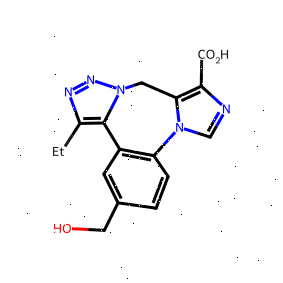 CCc1nnn2c1-c1cc(CO)ccc1-n1cnc(C(=O)O)c1C2